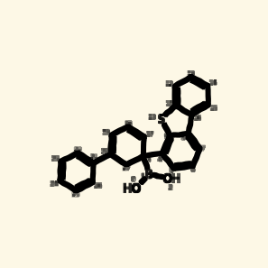 OB(O)C1(c2cccc3c2sc2ccccc23)C=CC=C(c2ccccc2)C1